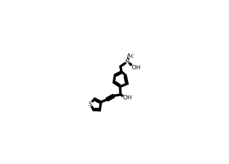 CC(=O)N(O)Cc1ccc(C(O)C#Cc2ccsc2)cc1